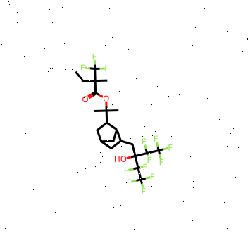 CCC(C)(C(=O)OC(C)(C)C1CC2CC(CC(O)(C(F)(F)C(F)(F)F)C(F)(F)C(F)(F)F)C1C2)C(F)(F)F